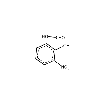 O=CO.O=[N+]([O-])c1ccccc1O